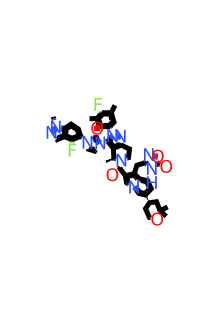 Cc1cc(-n2nc3c(c2-n2ccn(-c4ccc5c(cnn5C)c4F)c2=O)[C@H](C)N(C(=O)c2cn4cc([C@H]5CCOC(C)(C)C5)ccc4c2Cc2noc(=O)[nH]2)CC3)cc(C)c1F